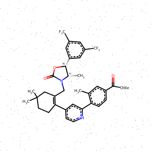 COC(=O)c1ccc(-c2cc(C3=C(CN4C(=O)O[C@H](c5cc(C(F)(F)F)cc(C(F)(F)F)c5)[C@@H]4C)CC(C)(C)CC3)ccn2)c(C)c1